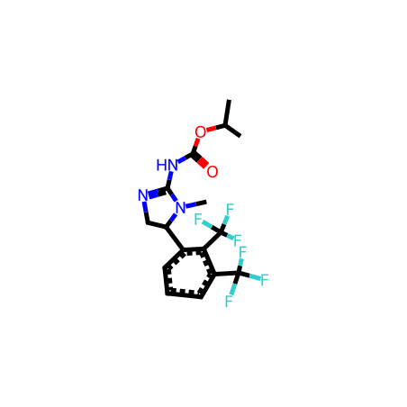 CC(C)OC(=O)NC1=NCC(c2cccc(C(F)(F)F)c2C(F)(F)F)N1C